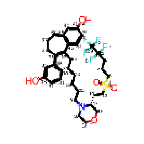 O=S(=O)(CCCC(F)(F)C(F)(F)F)CC[C@@H]1COCCN1CCCCCCC1=C(c2cccc(O)c2)CCCc2cc(O)ccc21